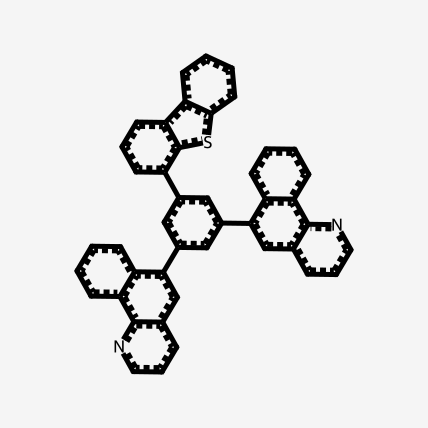 c1cnc2c(c1)cc(-c1cc(-c3cc4cccnc4c4ccccc34)cc(-c3cccc4c3sc3ccccc34)c1)c1ccccc12